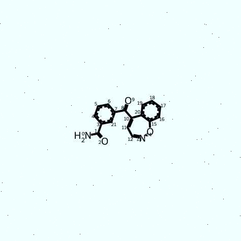 NC(=O)c1cccc(C(=O)C2=CC=NOc3ccccc32)c1